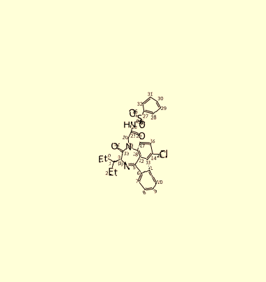 CCC(CC)[C@@H]1N=C(c2ccccc2)c2cc(Cl)ccc2N(CC(=O)NS(=O)(=O)c2ccccc2)C1=O